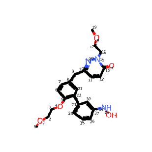 COCCOc1ccc(Cc2ccc(=O)n(CCOC)n2)cc1-c1cccc(NO)c1